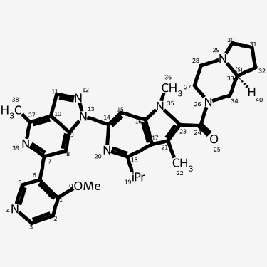 COc1ccncc1-c1cc2c(cnn2-c2cc3c(c(C(C)C)n2)c(C)c(C(=O)N2CCN4CCC[C@H]4C2)n3C)c(C)n1